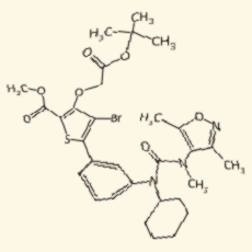 COC(=O)c1sc(-c2cccc(N(C(=O)N(C)c3c(C)noc3C)C3CCCCC3)c2)c(Br)c1OCC(=O)OC(C)(C)C